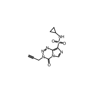 C#CCn1nnc2c(S(=O)(=O)NC3CC3)ncn2c1=O